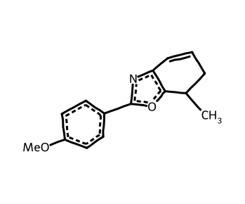 COc1ccc(-c2nc3c(o2)C(C)CC=C3)cc1